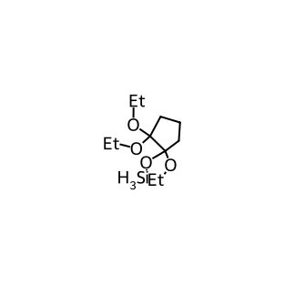 CCOC1(O[SiH3])CCCC1(OCC)OCC